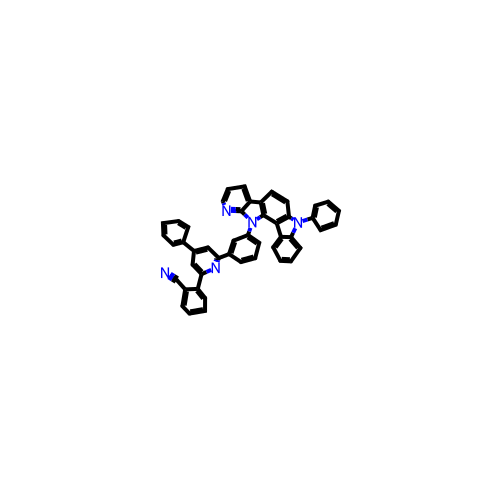 N#Cc1ccccc1-c1cc(-c2ccccc2)cc(-c2cccc(-n3c4ncccc4c4ccc5c(c6ccccc6n5-c5ccccc5)c43)c2)n1